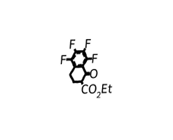 CCOC(=O)C1CCc2c(F)c(F)c(F)c(F)c2C1=O